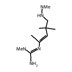 CNNCC(C)(C)/C=C(C)/N=C(/N)NC